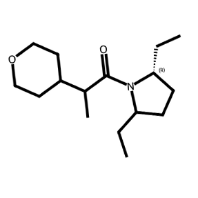 CCC1CC[C@@H](CC)N1C(=O)C(C)C1CCOCC1